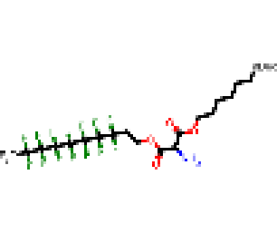 CCCCCCCCCCCCCCCCOC(=O)C(N)C(=O)OCCC(F)(F)C(F)(F)C(F)(F)C(F)(F)C(F)(F)C(F)(F)C(F)(F)C(F)(F)F